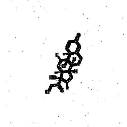 C[C@@H]1C[C@H]2[C@@H]3CCC4=CC(=O)C=C[C@]4(C)[C@@]3(Cl)[C@@H](F)C[C@]2(C)[C@@]1(O)C(=O)CCl